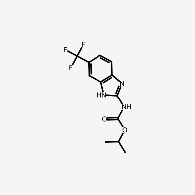 CC(C)OC(=O)Nc1nc2ccc(C(F)(F)F)cc2[nH]1